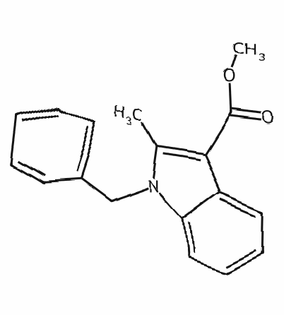 COC(=O)c1c(C)n(Cc2ccccc2)c2ccccc12